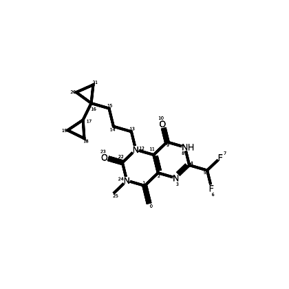 C=C1c2nc(C(F)F)[nH]c(=O)c2N(CCCC2(C3CC3)CC2)C(=O)N1C